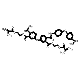 C=C(C)C(=O)OCCOC(=O)c1cc(Oc2ccc(C(=O)C(C)(C)C)c(C(=O)OCCOC(=O)C(=C)C)c2)ccc1C(=O)Nc1ccc(Oc2ccc(NC(C)(C)C)cc2)cc1